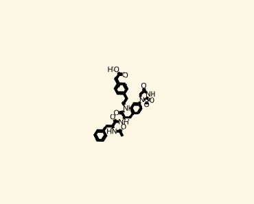 CC(=O)NC(Cc1ccccc1)C(=O)NC(Cc1ccc(N2CC(=O)NS2(=O)=O)cc1)C(=O)NCCc1ccc(CC(=O)O)cc1